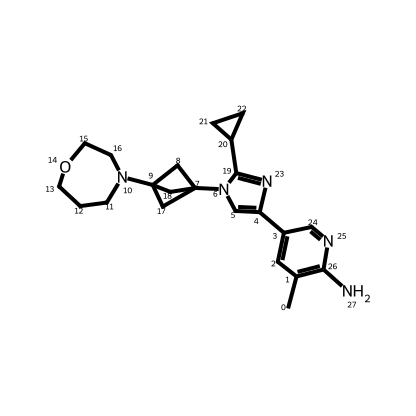 Cc1cc(-c2cn(C34CC(N5CCCOCC5)(C3)C4)c(C3CC3)n2)cnc1N